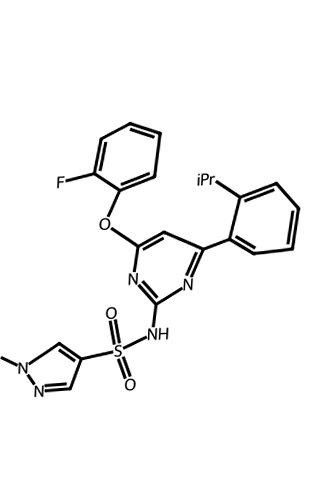 CC(C)c1ccccc1-c1cc(Oc2ccccc2F)nc(NS(=O)(=O)c2cnn(C)c2)n1